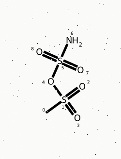 CS(=O)(=O)OS(N)(=O)=O